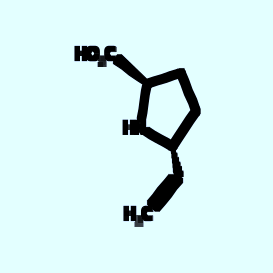 C=C[C@H]1CC[C@H](C(=O)O)N1